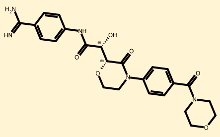 N=C(N)c1ccc(NC(=O)[C@H](O)[C@H]2OCCN(c3ccc(C(=O)N4CCOCC4)cc3)C2=O)cc1